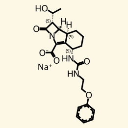 CC(O)[C@H]1C(=O)N2C(C(=O)[O-])=C3[C@@H](NC(=O)NCCOc4ccccc4)CCC[C@@H]3[C@H]12.[Na+]